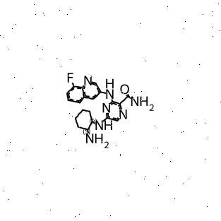 NC(=O)c1ncc(N[C@@H]2CCCC[C@@H]2N)nc1Nc1cnc2c(F)cccc2c1